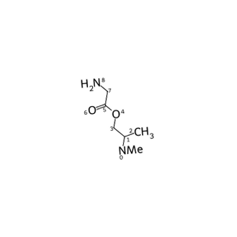 CNC(C)COC(=O)CN